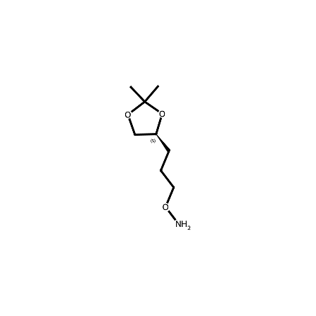 CC1(C)OC[C@H](CCCON)O1